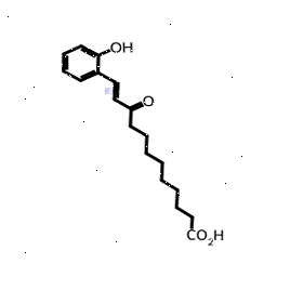 O=C(O)CCCCCCCCC(=O)/C=C/c1ccccc1O